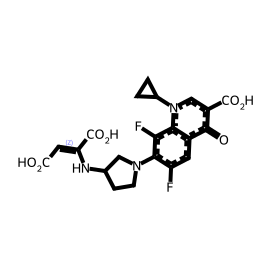 O=C(O)/C=C(\NC1CCN(c2c(F)cc3c(=O)c(C(=O)O)cn(C4CC4)c3c2F)C1)C(=O)O